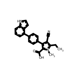 CCc1c(C#N)c(-c2ccc(-c3cccc4[nH]ccc34)cc2)c(C(=O)O)n1C